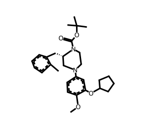 COc1ccc(N2CCN(C(=O)OC(C)(C)C)[C@@H](Cc3ccccc3C)C2)cc1OC1CCCC1